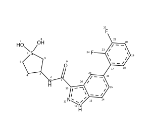 O=C(NC1CCS(O)(O)C1)c1n[nH]c2ccc(-c3cccc(F)c3F)cc12